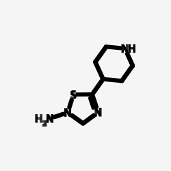 NN1CN=C(C2CCNCC2)S1